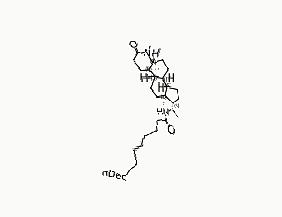 CCCCCCCCCCCCCCCCCC(=O)NC(C)[C@H]1CC[C@H]2[C@@H]3CC[C@H]4N(C)C(=O)CC[C@]4(C)[C@H]3CC[C@]12C